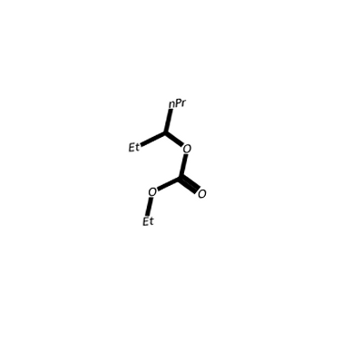 CCCC(CC)OC(=O)OCC